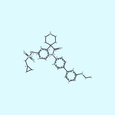 CCOc1cncc(-c2ccc(NC(=O)C3(c4ccnc(NS(=O)(=O)CC5CC5)n4)CCOCC3)nc2)n1